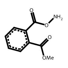 COC(=O)c1ccccc1C(=O)ON